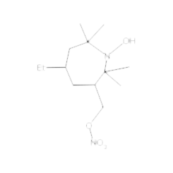 CCC1CC(CO[N+](=O)[O-])C(C)(C)N(O)C(C)(C)C1